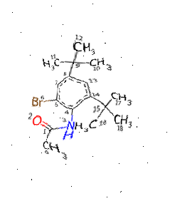 CC(=O)Nc1c(Br)cc(C(C)(C)C)cc1C(C)(C)C